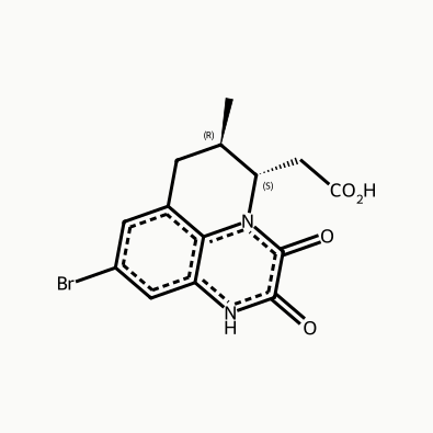 C[C@@H]1Cc2cc(Br)cc3[nH]c(=O)c(=O)n(c23)[C@H]1CC(=O)O